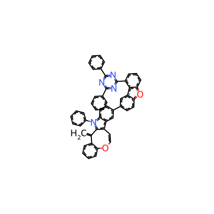 C=C1c2ccccc2O/C=C\c2c1n(-c1ccccc1)c1ccc(-c3ccc4oc5cccc(-c6nc(-c7ccccc7)nc(-c7ccccc7)n6)c5c4c3)cc21